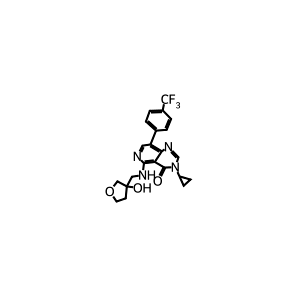 O=c1c2c(NCC3(O)CCOC3)ncc(-c3ccc(C(F)(F)F)cc3)c2ncn1C1CC1